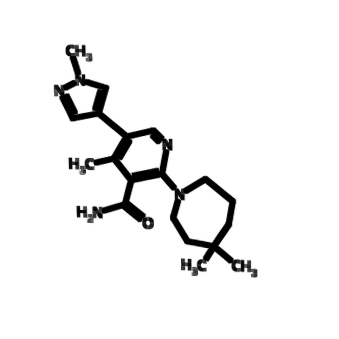 Cc1c(-c2cnn(C)c2)cnc(N2CCCC(C)(C)CC2)c1C(N)=O